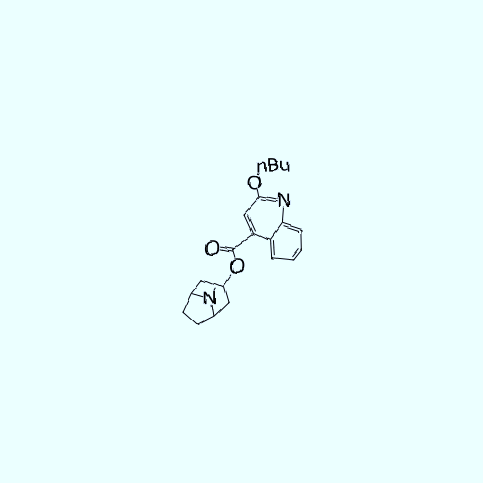 CCCCOc1cc(C(=O)OC2CC3CCC(C2)N3C)c2ccccc2n1